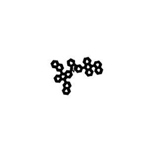 C1=CC2C3=C(CCC(c4c5c(c(C6=c7ccccc7=CCC6)c6ccccc46)=CCCC=5)=C3)N(c3ccc4c(-c5ccc6ccccc6c5)c5ccccc5c(-c5ccc6ccccc6c5)c4c3)C2C=C1